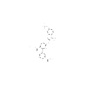 COC(=O)c1ccc(NC(=O)C2(c3ccc4c(c3)OC(F)(F)O4)CC2)nc1-c1cccc(C(=O)OC(C)(C)C)c1